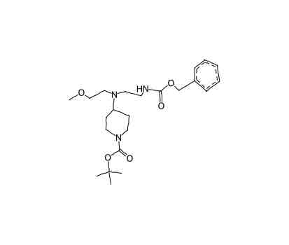 COCCN(CCNC(=O)OCc1ccccc1)C1CCN(C(=O)OC(C)(C)C)CC1